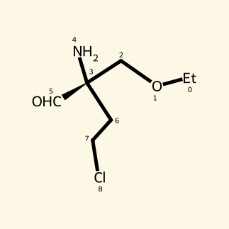 CCOC[C@](N)(C=O)CCCl